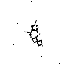 Cn1cc([N+](=O)[O-])c(OC2CCC23COC3)n1